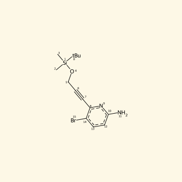 CC(C)(C)[Si](C)(C)OCC#Cc1nc(N)ccc1Br